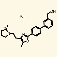 Cc1oc(-c2ccc(-c3cccc(CO)c3)cc2)nc1CCN1CCC[C@H]1C.Cl